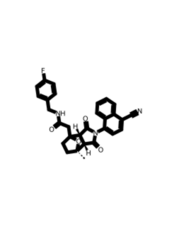 C[C@]12CCC(CC(=O)NCc3ccc(F)cc3)(O1)[C@@H]1C(=O)N(c3ccc(C#N)c4ccccc34)C(=O)[C@@H]12